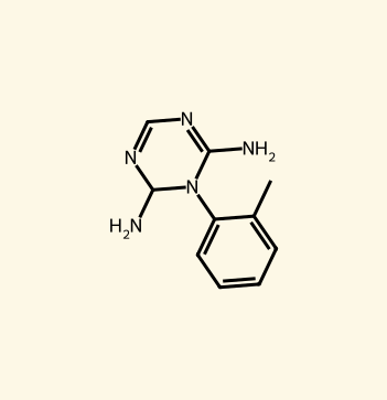 Cc1ccccc1N1C(N)=NC=NC1N